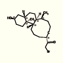 C[C@H]1CCC[C@H](C(=O)CBr)CCC[C@H]2[C@H]1CC[C@H]1C[C@H](O)CC[C@@]12C